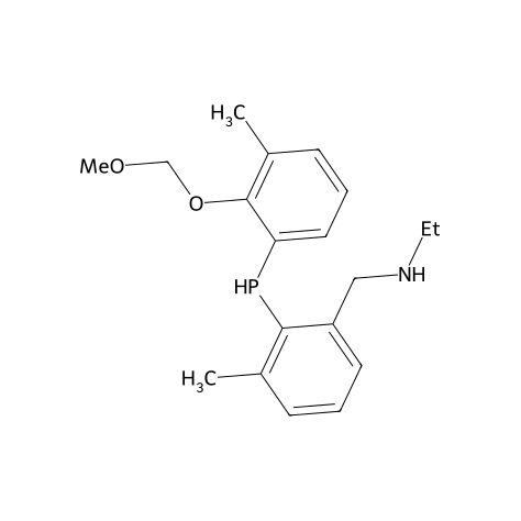 CCNCc1cccc(C)c1Pc1cccc(C)c1OCOC